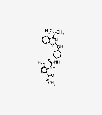 COC(=O)c1scc(C)c1NC(=S)NC1CCC(Nc2nc(N(C)C)c3ccccc3n2)CC1